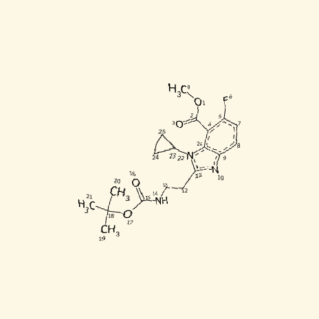 COC(=O)c1c(F)ccc2nc(CCNC(=O)OC(C)(C)C)n(C3CC3)c12